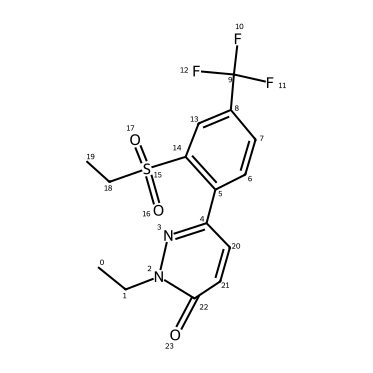 CCn1nc(-c2ccc(C(F)(F)F)cc2S(=O)(=O)CC)ccc1=O